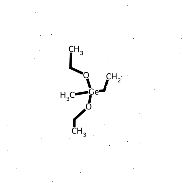 [CH2][CH2][Ge]([CH3])([O]CC)[O]CC